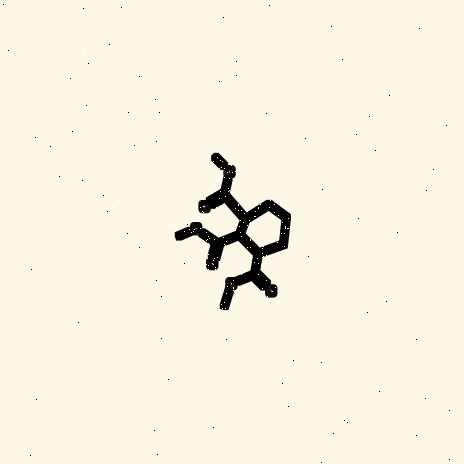 COC(=O)C1CCCC(C(=O)OC)C1C(=O)OC